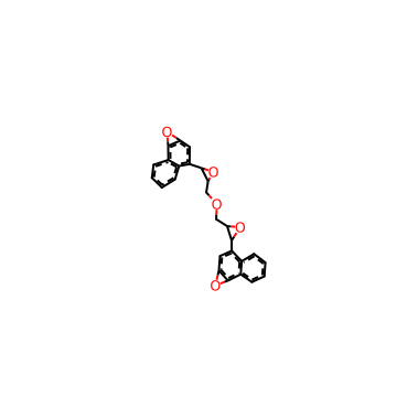 c1ccc2c3c(cc(C4OC4COCC4OC4c4cc5c(c6ccccc46)O5)c2c1)O3